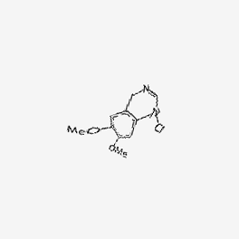 COc1cc2c(cc1OC)N(Cl)C=NC2